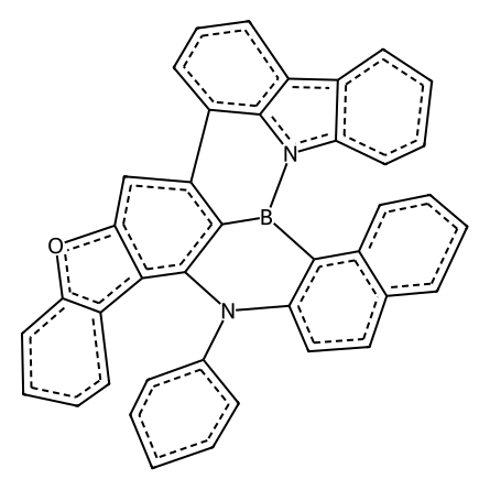 c1ccc(N2c3ccc4ccccc4c3B3c4c(cc5oc6ccccc6c5c42)-c2cccc4c5ccccc5n3c24)cc1